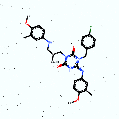 CCOC(=O)C(CNc1ccc(OC(C)C)c(C)c1)Cn1c(=O)[nH]/c(=N\c2ccc(OC(C)C)c(C)c2)n(Cc2ccc(Cl)cc2)c1=O